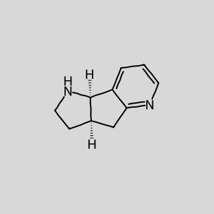 c1cnc2c(c1)[C@@H]1NCC[C@@H]1C2